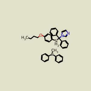 CB(c1ccccc1)c1ccccc1.CCCCOc1ccc([SiH2]C(c2ccccc2)(c2ccccc2)n2ccnc2)cc1